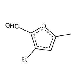 CCc1cc(C)oc1C=O